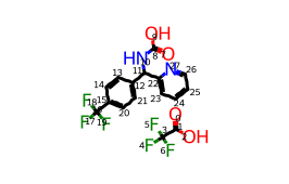 O=C(O)C(F)(F)F.O=C(O)NC(c1ccc(C(F)(F)F)cc1)c1ccccn1